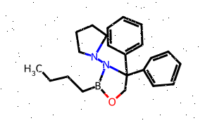 CCCCB1OCC(c2ccccc2)(c2ccccc2)N1N1CCCC1